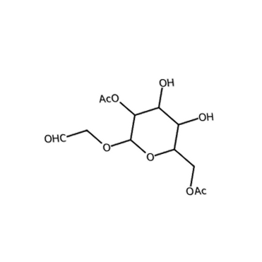 CC(=O)OCC1OC(OCC=O)C(OC(C)=O)C(O)C1O